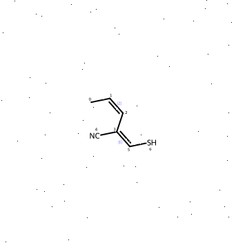 C/C=C\C(C#N)=C/S